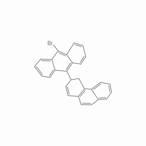 Brc1c2ccccc2c(C2C=Cc3ccc4ccccc4c3C2)c2ccccc12